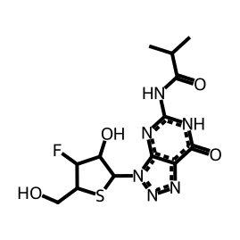 CC(C)C(=O)Nc1nc2c(nnn2C2SC(CO)C(F)C2O)c(=O)[nH]1